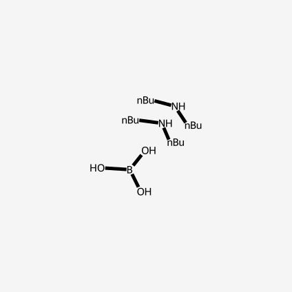 CCCCNCCCC.CCCCNCCCC.OB(O)O